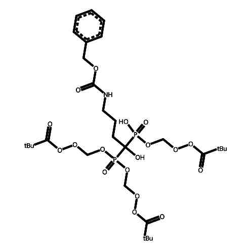 CC(C)(C)C(=O)OOCOP(=O)(O)C(O)(CCCNC(=O)OCc1ccccc1)P(=O)(OCOOC(=O)C(C)(C)C)OCOOC(=O)C(C)(C)C